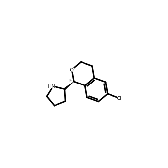 Clc1ccc2c(c1)CCO[C@@H]2C1CCCN1